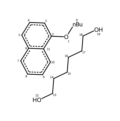 CCCCOc1cccc2ccccc12.OCCCCCCO